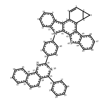 C1=CC2CC2c2c1c1c3ccccc3n(-c3ccc(-c4nc(-c5ccccc5)c5ccc6ccccc6c5n4)cc3)c1c1sc3ccccc3c21